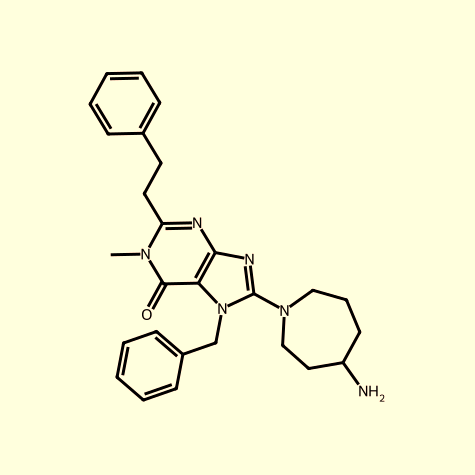 Cn1c(CCc2ccccc2)nc2nc(N3CCCC(N)CC3)n(Cc3ccccc3)c2c1=O